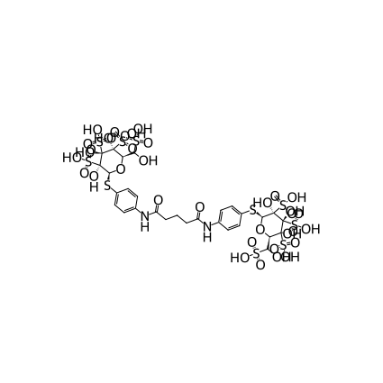 O=C(CCCC(=O)Nc1ccc(S[C@@H]2O[C@H](C(O)S(=O)(=O)O)[C@](O)(S(=O)(=O)O)[C@@](O)(S(=O)(=O)O)[C@]2(O)S(=O)(=O)O)cc1)Nc1ccc(S[C@@H]2O[C@H](C(O)S(=O)(=O)O)[C@](O)(S(=O)(=O)O)[C@@](O)(S(=O)(=O)O)[C@]2(O)S(=O)(=O)O)cc1